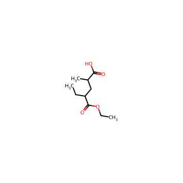 CCOC(=O)C(CC)CC(C)C(=O)O